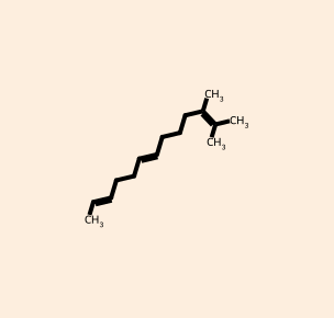 CC=CCCC=CCCCC(C)=C(C)C